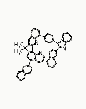 CC1(C)c2cc3cccc(-c4ccc(-c5c(-c6ccc7ccccc7c6)nc6ccccn56)cc4)c3nc2-c2c1cc(-c1ccc3ccccc3c1)c1cccnc21